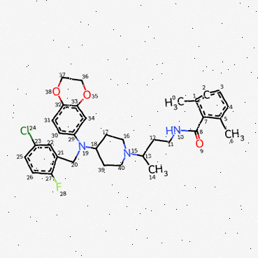 Cc1cccc(C)c1C(=O)NCCC(C)N1CCC(N(Cc2cc(Cl)ccc2F)c2ccc3c(c2)OCCO3)CC1